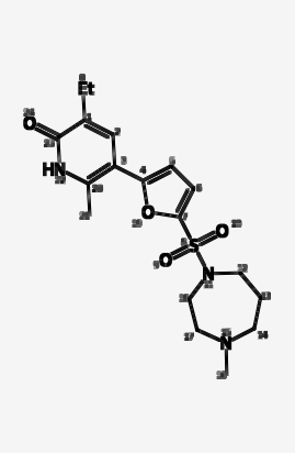 CCc1cc(-c2ccc(S(=O)(=O)N3CCCN(C)CC3)o2)c(C)[nH]c1=O